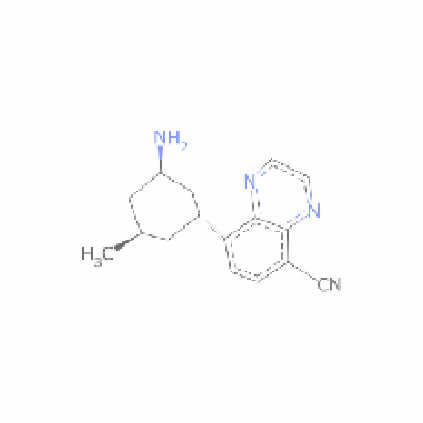 C[C@H]1C[C@@H](N)C[C@H](c2ccc(C#N)c3nccnc23)C1